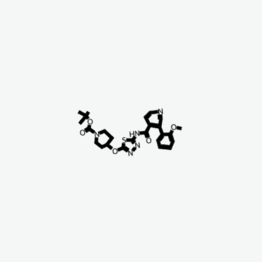 COc1ccccc1-c1cnccc1C(=O)Nc1nnc(OC2CCN(C(=O)OC(C)(C)C)CC2)s1